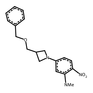 CNc1cc(N2CC(COCc3ccccc3)C2)ccc1[N+](=O)[O-]